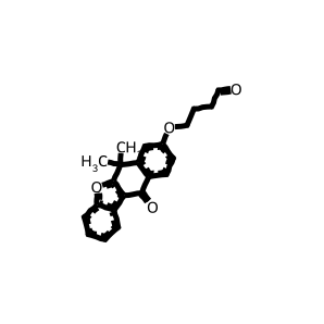 CC1(C)c2cc(OCCCC=O)ccc2C(=O)c2c1oc1ccccc21